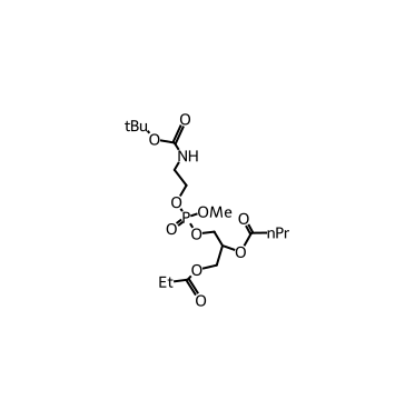 CCCC(=O)OC(COC(=O)CC)COP(=O)(OC)OCCNC(=O)OC(C)(C)C